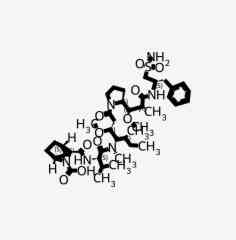 CC[C@H](C)[C@@H]([C@@H](CC(=O)N1CCC[C@H]1[C@H](OC)[C@@H](C)C(=O)N[C@@H](Cc1ccccc1)CS(N)(=O)=O)OC)N(C)C(=O)[C@@H](NC(=O)[C@@H]1[C@H]2CC[C@H](C2)N1C(=O)O)C(C)C